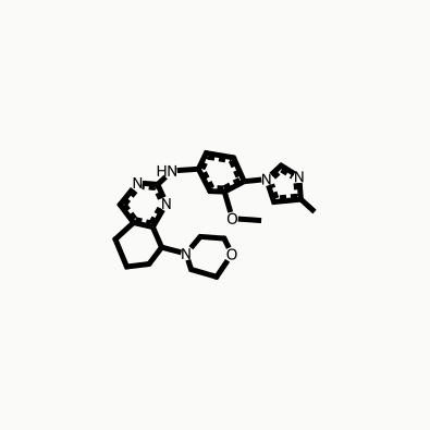 COc1cc(Nc2ncc3c(n2)C(N2CCOCC2)CCC3)ccc1-n1cnc(C)c1